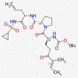 C=CCC(NC(=O)[C@@H]1CCCN1C(=O)[C@H](CCC(=O)/C(C)=C/C)NC(=O)OC(C)(C)C)C(=O)NS(=O)(=O)C1CC1